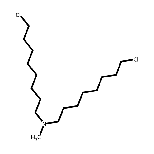 CN(CCCCCCCCCl)CCCCCCCCCl